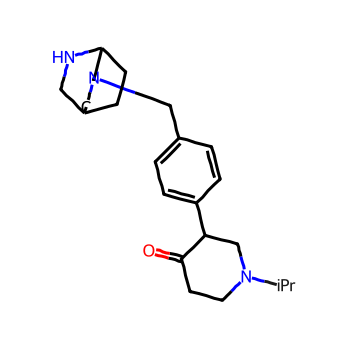 CC(C)N1CCC(=O)C(c2ccc(CN3CC4CCC(C3)NC4)cc2)C1